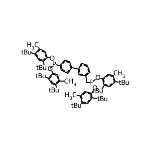 Cc1cc(OP(Cc2cccc(-c3ccc(P(Oc4cc(C)c(C(C)(C)C)cc4C(C)(C)C)Oc4cc(C)c(C(C)(C)C)cc4C(C)(C)C)cc3)c2)Oc2cc(C)c(C(C)(C)C)cc2C(C)(C)C)c(C(C)(C)C)cc1C(C)(C)C